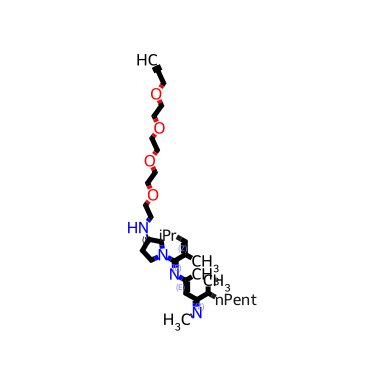 C#CCOCCOCCOCCOCCN[C@H]1CCN(C(=N/C(C)=C/C(=N\C)C(C)CCCCC)/C(C)=C\C(C)C)C1